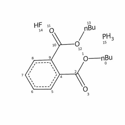 CCCCOC(=O)c1ccccc1C(=O)OCCCC.F.P